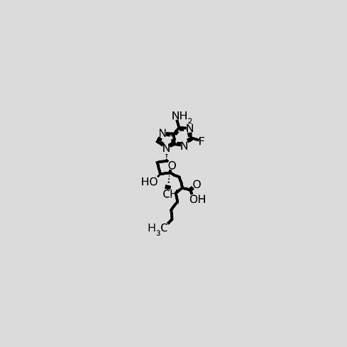 C#C[C@@]1(CC(CCCCC)C(=O)O)O[C@@H](n2cnc3c(N)nc(F)nc32)C[C@@H]1O